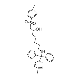 Cc1ccc(C(NCCCCCC(O)CS(=O)(=O)c2ccc(C)cc2)(c2ccccc2)c2ccccc2)cc1